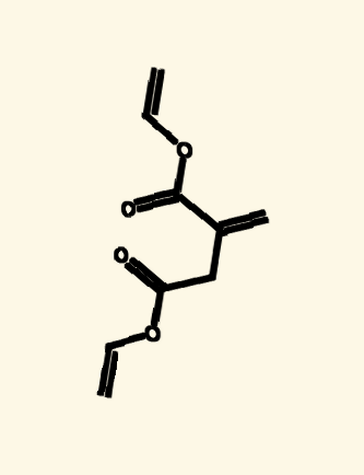 C=COC(=O)CC(=C)C(=O)OC=C